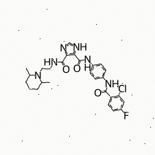 CC1CCCC(C)N1CCNC(=O)c1nc[nH]c1C(=O)Nc1ccc(NC(=O)c2ccc(F)cc2Cl)cc1